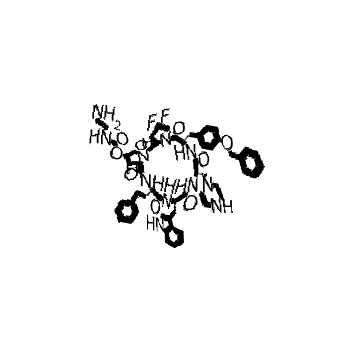 NCCNC(=O)O[C@@H]1C[C@H]2C(=O)N[C@@H](CCc3ccccc3)C(=O)N[C@H](Cc3c[nH]c4ccccc34)C(=O)N[C@@H](CN3CCNCC3)C(=O)N[C@@H](Cc3ccc(OCc4ccccc4)cc3)C(=O)N3CC(F)(F)C[C@H]3C(=O)N2C1